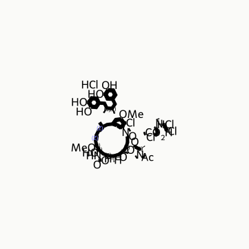 CC(=O)O.CN(CCCl)CCCl.COc1cc2cc(c1Cl)N(C)C(=O)C[C@H](OC(=O)[C@H](C)N(C)C(C)=O)[C@]1(C)O[C@H]1[C@H](C)[C@@H]1C[C@@](O)(NC(=O)O1)[C@H](OC)/C=C\C=C(\C)C2.C[C@H](Cc1ccc(O)c(O)c1)[C@@H](C)Cc1ccc(O)c(O)c1.Cl.Cl